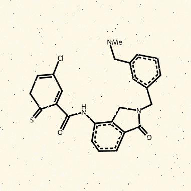 CNCc1cccc(CN2Cc3c(NC(=O)C4=CC(Cl)=CCC4=S)cccc3C2=O)c1